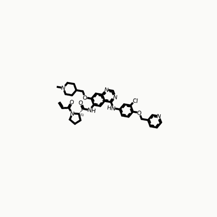 C=CC(=O)N1CCC[C@H]1C(=O)Nc1cc2c(Nc3ccc(OCc4cccnc4)c(Cl)c3)ncnc2cc1OCC1CCN(C)CC1